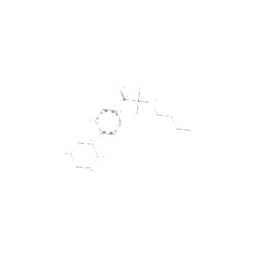 CCCCSC(C)(C)C(=O)c1ccc(C2CCCCC2)cc1